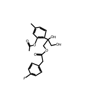 CC(=O)Oc1cc(C)ccc1C(O)(CO)COC(=O)Cc1ccc(F)cc1